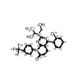 CC(O)N(CO)c1nc(-c2ccccc2Cl)c2ccc(=O)n(-c3ccc(C(F)(F)F)cc3)c2n1